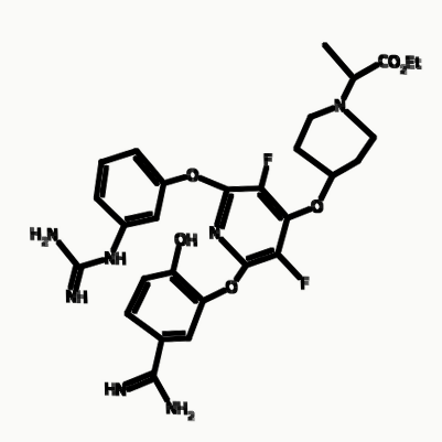 CCOC(=O)C(C)N1CCC(Oc2c(F)c(Oc3cccc(NC(=N)N)c3)nc(Oc3cc(C(=N)N)ccc3O)c2F)CC1